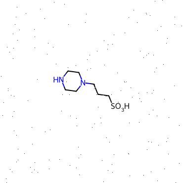 O=S(=O)(O)CCCN1CCNCC1